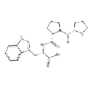 O=C(O)[C@H](Cc1c[nH]c2ccccc12)NC(=O)[C@@H]1CCCN1C(=O)[C@@H]1CCCN1